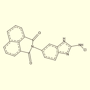 O=C1c2cccc3cccc(c23)C(=O)N1c1ccc2nc(NCl)[nH]c2c1